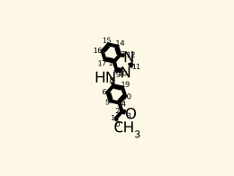 CCC(=O)c1ccc(Nc2ncnc3ccccc23)cc1